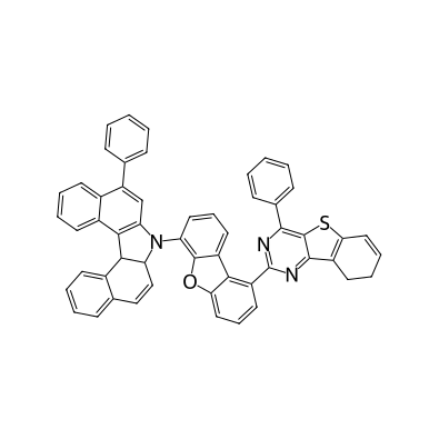 C1=Cc2sc3c(-c4ccccc4)nc(-c4cccc5oc6c(N7c8cc(-c9ccccc9)c9ccccc9c8C8c9ccccc9C=CC87)cccc6c45)nc3c2CC1